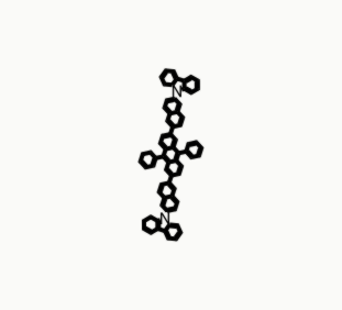 C1=CCCC(c2c3cc(-c4ccc5cc(-n6c7c(c8ccccc86)C=CCC7)ccc5c4)ccc3c(-c3ccccc3)c3cc(-c4ccc5cc(N6c7ccccc7C7=CC=CCC76)ccc5c4)ccc23)=C1